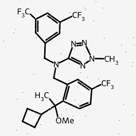 COC(C)(c1ccc(C(F)(F)F)cc1CN(Cc1cc(C(F)(F)F)cc(C(F)(F)F)c1)c1nnn(C)n1)C1CCC1